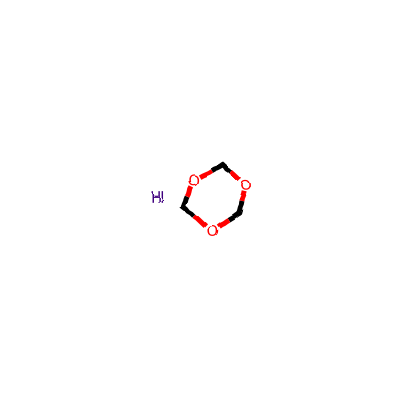 C1OCOCO1.I